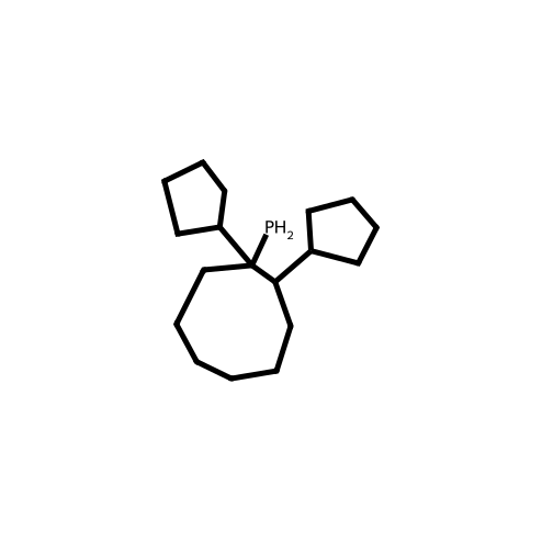 PC1(C2CCCC2)CCCCCCC1C1CCCC1